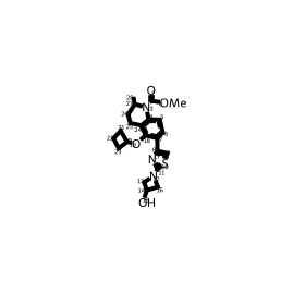 COC(=O)N1c2ccc(-c3csc(N4CC(O)C4)n3)c(OC3CCC3)c2CCC1C